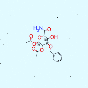 CC(=O)OC1[C@@H](OC(C)=O)OC(C(N)=O)[C@@H](O)[C@H]1OCc1ccccc1